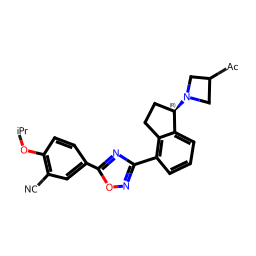 CC(=O)C1CN([C@@H]2CCc3c(-c4noc(-c5ccc(OC(C)C)c(C#N)c5)n4)cccc32)C1